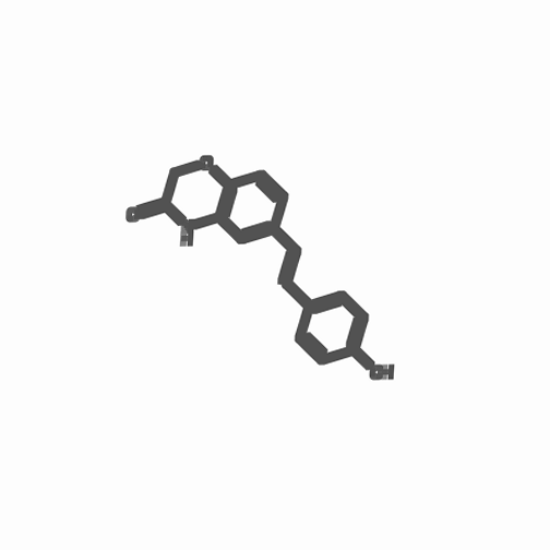 O=C1COc2ccc(C=Cc3ccc(O)cc3)cc2N1